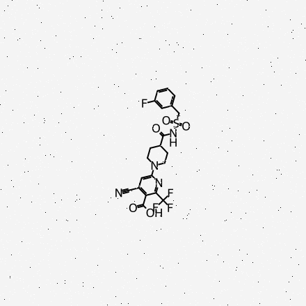 N#Cc1cc(N2CCC(C(=O)NS(=O)(=O)Cc3cccc(F)c3)CC2)nc(C(F)(F)F)c1C(=O)O